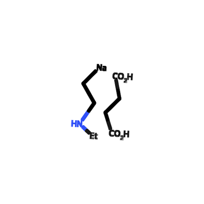 CCNC[CH2][Na].O=C(O)CCC(=O)O